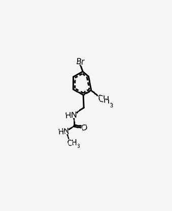 CNC(=O)NCc1ccc(Br)cc1C